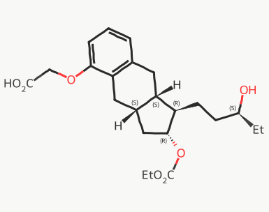 CCOC(=O)O[C@@H]1C[C@@H]2Cc3c(cccc3OCC(=O)O)C[C@@H]2[C@H]1CC[C@@H](O)CC